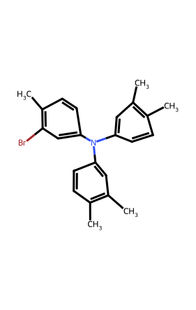 Cc1ccc(N(c2ccc(C)c(C)c2)c2ccc(C)c(Br)c2)cc1C